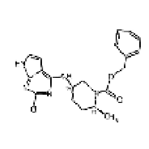 C[C@H]1CC[C@@H](Nc2nc(Cl)nc3[nH]ccc23)CN1C(=O)OCc1ccccc1